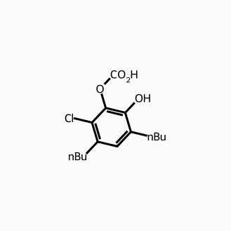 CCCCc1cc(CCCC)c(Cl)c(OC(=O)O)c1O